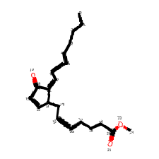 CCCCC/C=C/C=C1\C(=O)C=CC1C/C=C\CCCC(=O)OC